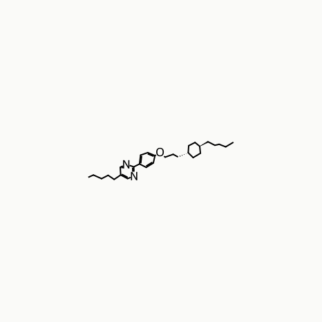 CCCCCc1cnc(-c2ccc(OCCC[C@H]3CC[C@H](CCCCC)CC3)cc2)nc1